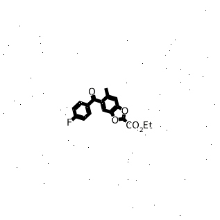 CCOC(=O)C1Oc2cc(C)c(C(=O)c3ccc(F)cc3)cc2O1